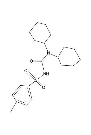 Cc1ccc(S(=O)(=O)NC(=O)N(C2CCCCC2)C2CCCCC2)cc1